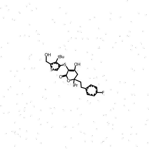 CC(C)C1(CCc2ccc(F)cc2)CC(O)=C(Sc2csc(CO)c2C(C)(C)C)C(=O)O1